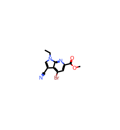 CCn1cc(C#N)c2c(Br)cc(C(=O)OC)nc21